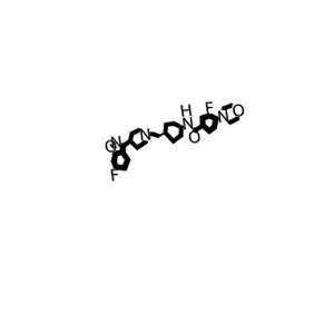 O=C(N[C@H]1CC[C@H](CCN2CCC(c3noc4cc(F)ccc34)CC2)CC1)c1ccc(N2CCOCC2)c(F)c1